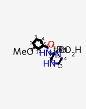 COc1cccc(C(=O)NC2(C(C)(C)C)CNCCN2C(=O)O)c1